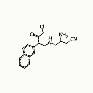 N#CCC(N)CNCC(C(=O)CCl)c1ccc2ccccc2c1